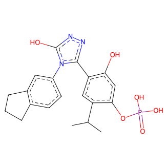 CC(C)c1cc(-c2nnc(O)n2-c2ccc3c(c2)CCC3)c(O)cc1OP(=O)(O)O